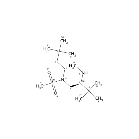 CN[C@H](CN(CCC(C)(C)C)S(C)(=O)=O)C(C)(C)C